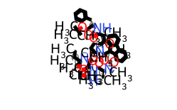 CC[C@H](C)[C@@H]([C@@H](CC)OC)N(C)C(=O)[C@@H](NC(=O)[C@H](C(C)C)N(C)C(=O)O[C@@H](C1c2ccccc2-c2ccccc21)N1[C@@H](C)CC[C@H]1[C@H](OC)[C@@H](C)C(=O)N[C@@H](Cc1ccccc1)C(=O)OC(C)(C)C)C(C)C